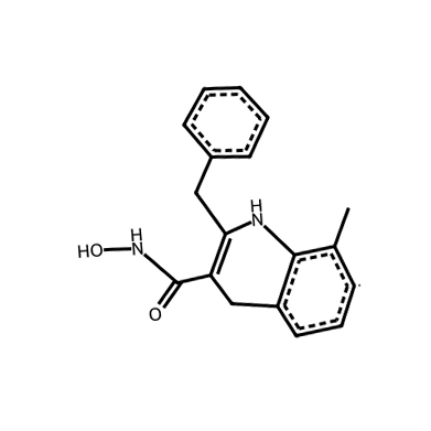 Cc1[c]ccc2c1NC(Cc1ccccc1)=C(C(=O)NO)C2